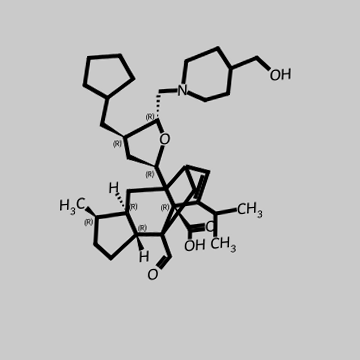 CC(C)C1=CC2CC3(C=O)[C@@H]4CC[C@@H](C)[C@H]4CC2([C@H]2C[C@@H](CC4CCCC4)[C@H](CN4CCC(CO)CC4)O2)[C@]13C(=O)O